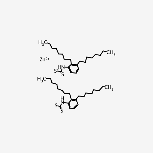 CCCCCCCCc1cccc(NC(=S)[S-])c1CCCCCCCC.CCCCCCCCc1cccc(NC(=S)[S-])c1CCCCCCCC.[Zn+2]